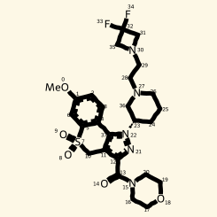 COc1ccc2c(c1)S(=O)(=O)Cc1c(C(=O)N3CCOCC3)nn([C@H]3CCCN(CCN4CC(F)(F)C4)C3)c1-2